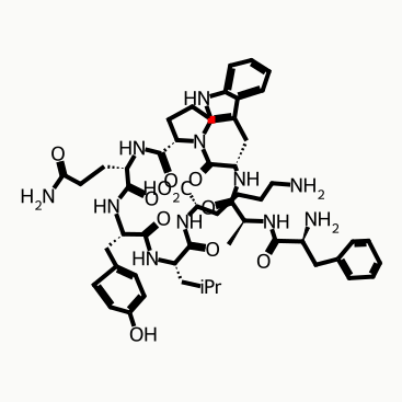 CC(C)C[C@H](NC(=O)[C@H](Cc1ccc(O)cc1)NC(=O)[C@H](CCC(N)=O)NC(=O)[C@@H]1CCCN1C(=O)[C@H](Cc1c[nH]c2ccccc12)NC(=O)[C@H](C)NC(=O)[C@@H](N)Cc1ccccc1)C(=O)N[C@@H](CCCCN)C(=O)O